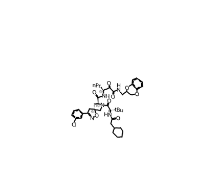 CCC[C@H](NC(=O)[C@@H]1C[C@]2(CC(c3cccc(Cl)c3)=NO2)CN1C(=O)[C@@H](NC(=O)CC1CCCCC1)C(C)(C)C)C(=O)C(=O)NCC1COc2ccccc2O1